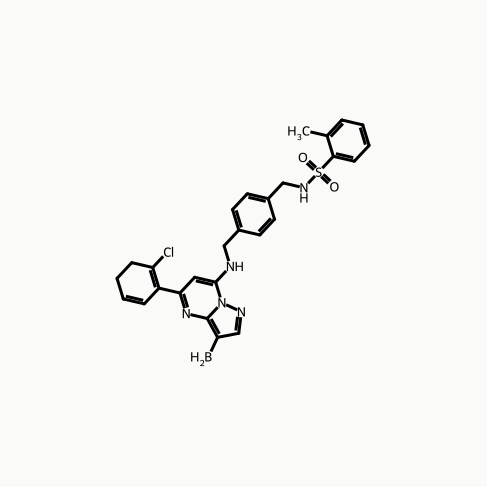 Bc1cnn2c(NCc3ccc(CNS(=O)(=O)c4ccccc4C)cc3)cc(C3=C(Cl)CCC=C3)nc12